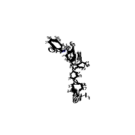 COc1cc(-c2nn(C3CCC(N4CCN(C)CC4)CC3)c3cncc(N)c23)ccc1/N=C/c1ccccc1O